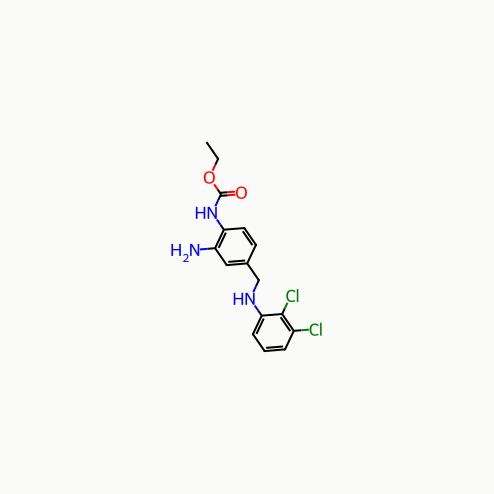 CCOC(=O)Nc1ccc(CNc2cccc(Cl)c2Cl)cc1N